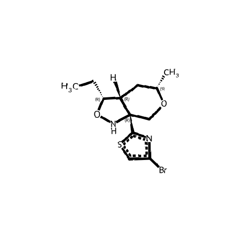 CC[C@H]1ON[C@@]2(c3nc(Br)cs3)CO[C@@H](C)C[C@@H]12